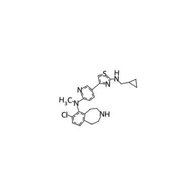 CN(c1ccc(-c2csc(NCC3CC3)n2)cn1)c1c(Cl)ccc2c1CCNCC2